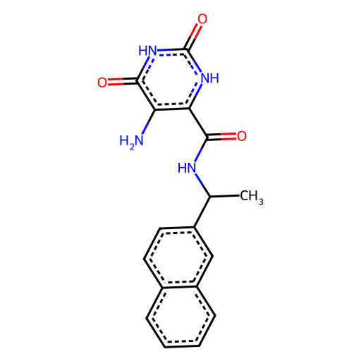 CC(NC(=O)c1[nH]c(=O)[nH]c(=O)c1N)c1ccc2ccccc2c1